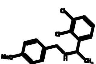 COc1ccc(CNC(C)c2cccc(Cl)c2Cl)cc1